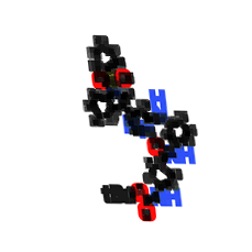 CC(C)(C)OC(=O)Nc1ccc(C(=O)Nc2cccc(Nc3cc(-c4cn(S(=O)(=O)c5ccccc5)c5ccccc45)ncn3)c2)cc1